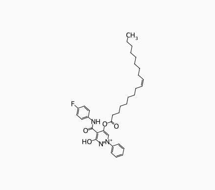 CCCCCCCC/C=C\CCCCCCCC(=O)Oc1c[n+](-c2ccccc2)nc(O)c1C(=O)Nc1ccc(F)cc1